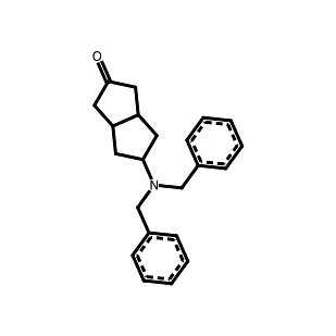 O=C1CC2CC(N(Cc3ccccc3)Cc3ccccc3)CC2C1